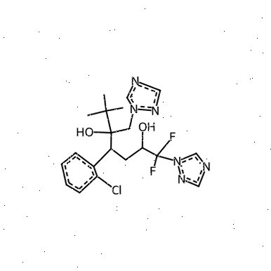 CC(C)(C)C(O)(Cn1cncn1)C(CC(O)C(F)(F)n1cncn1)c1ccccc1Cl